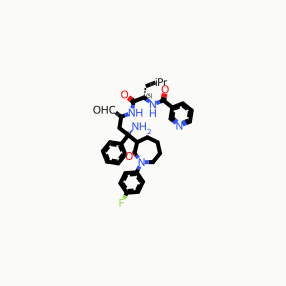 CC(C)C[C@H](NC(=O)c1cccnc1)C(=O)NC(C=O)C[C@](N)(c1ccccc1)C1CCCCN(c2ccc(F)cc2)C1=O